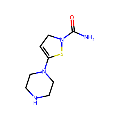 NC(=O)N1CC=C(N2CCNCC2)S1